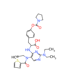 C#CCN(C(=O)c1cccs1)c1cnc(N(CC)CC)nc1NC(Cc1ccc(OC(=O)N2CCCC2)cc1)C(=O)O